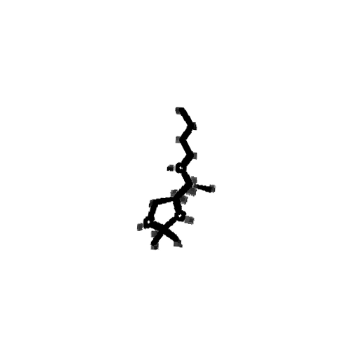 CCCCO[C@H](C)[C@@H]1COC(C)(C)O1